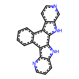 c1cnc2c(c1)[nH]c1c3[nH]c4cnccc4c3c3ccccc3c21